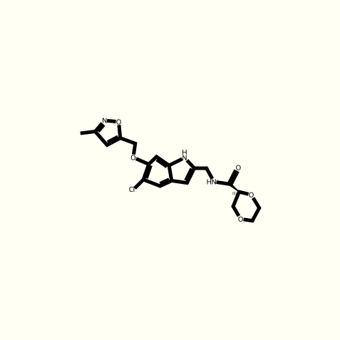 Cc1cc(COc2cc3[nH]c(CNC(=O)[C@@H]4COCCO4)cc3cc2Cl)on1